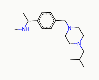 CNC(C)c1ccc(CN2CCN(CC(C)C)CC2)cc1